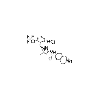 Cc1cc(NC(=O)c2ccc3c(c2)CCNC3)nn1Cc1ccccc1OC(F)(F)F.Cl